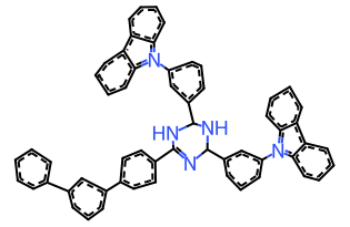 c1ccc(-c2cccc(-c3ccc(C4=NC(c5cccc(-n6c7ccccc7c7ccccc76)c5)NC(c5cccc(-n6c7ccccc7c7ccccc76)c5)N4)cc3)c2)cc1